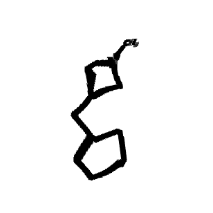 CN1CC(CC2CCCC2)C1